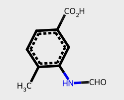 Cc1ccc(C(=O)O)cc1NC=O